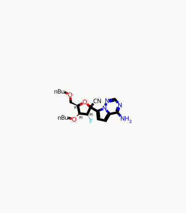 CCCCOC[C@H]1OC(C#N)(c2ccc3c(N)ncnn23)[C@H](F)[C@@H]1OCCCC